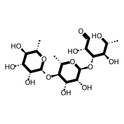 C[C@@H]1O[C@H](O[C@@H]2[C@@H](O)[C@@H](O)[C@H](O[C@@H]([C@H](O)[C@@H](C)O)[C@H](O)C=O)O[C@H]2C)[C@H](O)[C@H](O)[C@H]1O